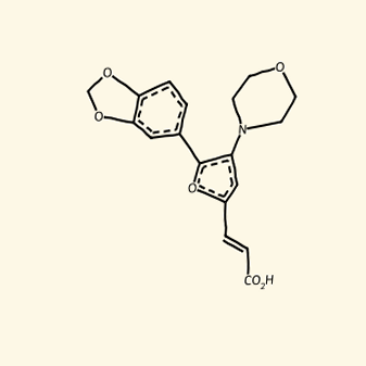 O=C(O)/C=C/c1cc(N2CCOCC2)c(-c2ccc3c(c2)OCO3)o1